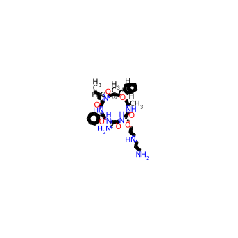 CCCC[C@H]1C(=O)N[C@@H](C2CCCCCC2)C(=O)N[C@@H](CN)C(=O)N[C@@H](COCCCNCCCN)C(=O)N[C@H](C)CO[C@H](C[C@@H]2C[C@@H]3CC[C@@H](C3)C2)[C@@H](C)C(=O)N1C